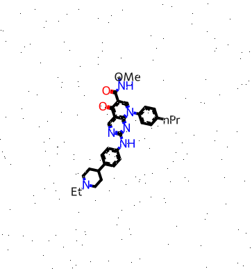 CCCc1ccc(-n2cc(C(=O)NOC)c(=O)c3cnc(Nc4ccc(C5CCN(CC)CC5)cc4)nc32)cc1